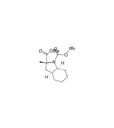 COC(=O)[C@@]1(C)C[C@@H]2CCCC[C@@H]2N1C(=O)OC(C)(C)C